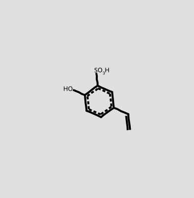 C=Cc1ccc(O)c(S(=O)(=O)O)c1